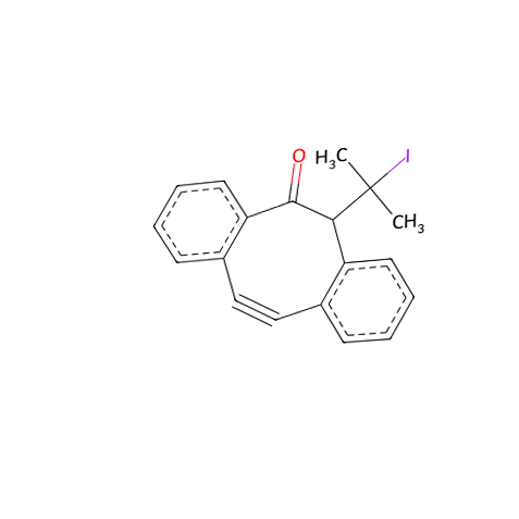 CC(C)(I)C1C(=O)c2ccccc2C#Cc2ccccc21